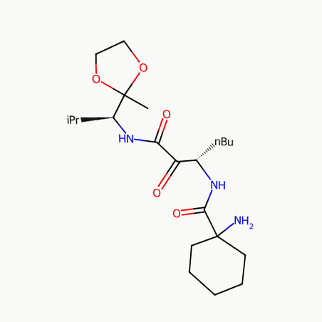 CCCC[C@H](NC(=O)C1(N)CCCCC1)C(=O)C(=O)N[C@@H](C(C)C)C1(C)OCCO1